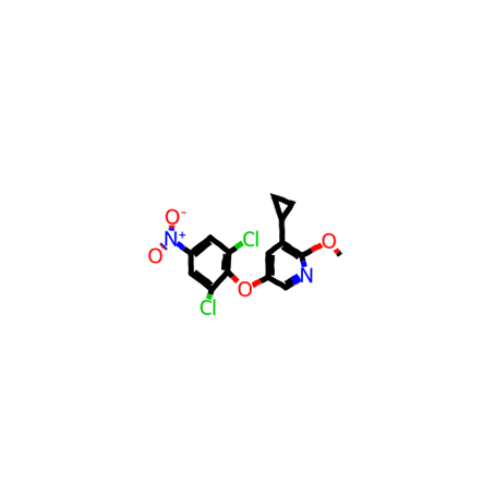 COc1ncc(Oc2c(Cl)cc([N+](=O)[O-])cc2Cl)cc1C1CC1